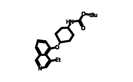 CCc1cncc2cccc(O[C@H]3CC[C@H](NC(=O)OC(C)(C)C)CC3)c12